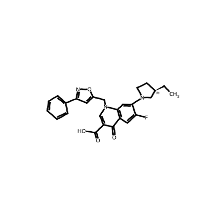 CC[C@@H]1CCN(c2cc3c(cc2F)c(=O)c(C(=O)O)cn3Cc2cc(-c3ccccc3)no2)C1